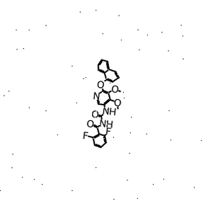 COc1c(NC(=O)NC(=O)c2c(F)cccc2F)cnc(Oc2cccc3ccccc23)c1OC